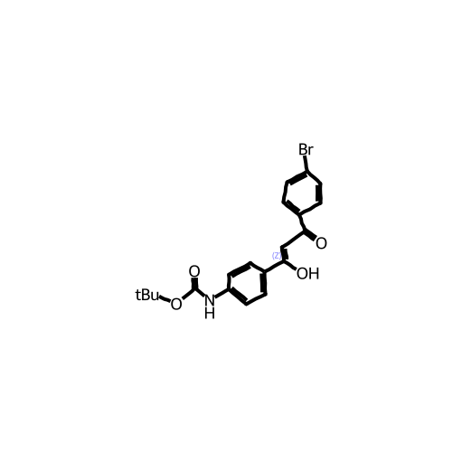 CC(C)(C)OC(=O)Nc1ccc(/C(O)=C/C(=O)c2ccc(Br)cc2)cc1